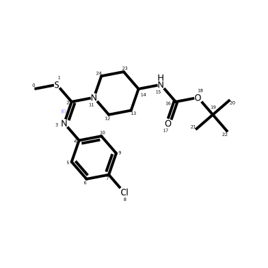 CS/C(=N/c1ccc(Cl)cc1)N1CCC(NC(=O)OC(C)(C)C)CC1